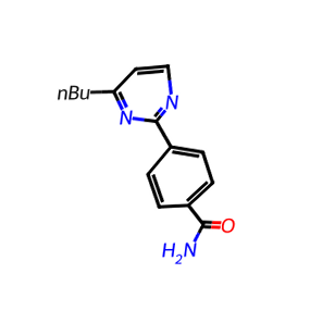 CCCCc1ccnc(-c2ccc(C(N)=O)cc2)n1